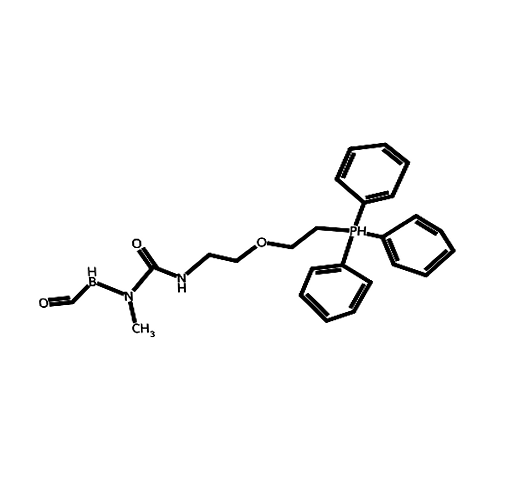 CN(BC=O)C(=O)NCCOCC[PH](c1ccccc1)(c1ccccc1)c1ccccc1